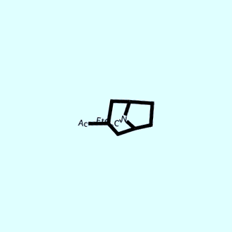 CCOC(=O)N1C2CCC1CC(C(C)=O)C2